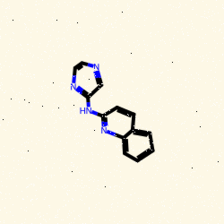 c1ccc2nc(Nc3cnccn3)ccc2c1